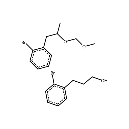 COCOC(C)Cc1ccccc1Br.OCCCc1ccccc1Br